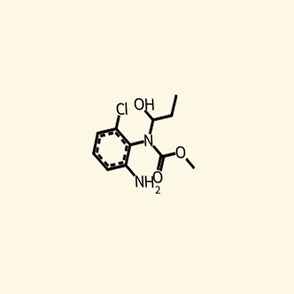 CCC(O)N(C(=O)OC)c1c(N)cccc1Cl